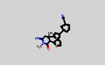 CN1C(=N)C[C@](C)(c2cc(-c3cccc(C#N)c3)cs2)C(c2cccs2)C1=O